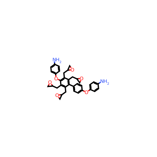 Nc1ccc(Oc2ccc(-c3c(CC4CO4)c(CC4CO4)c(Oc4ccc(N)cc4)c(CC4CO4)c3CC3CO3)cc2)cc1